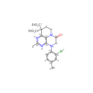 CCOC(=O)C1(C(=O)OCC)CCN2C(=O)CN(c3ccc(C(C)C)cc3Br)c3nc(C)nc1c32